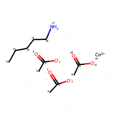 CC(=O)[O-].CC(=O)[O-].CC(=O)[O-].CCCCCN.[Co+3]